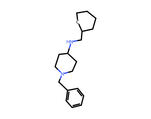 c1ccc(CN2CCC(NCC3CCCCC3)CC2)cc1